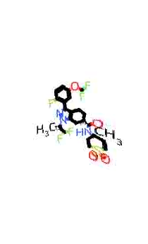 C[C@@H](C(F)F)n1nc(-c2cc(OC(F)F)ccc2F)c2c1C[C@H](C(=O)NC1(C)CCS(=O)(=O)CC1)CC2